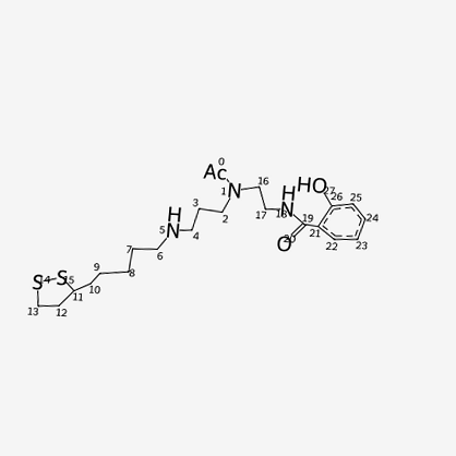 CC(=O)N(CCCNCCCCCC1CCSS1)CCNC(=O)c1ccccc1O